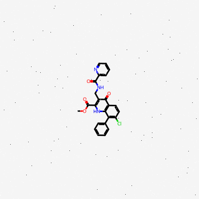 COC(=O)c1[nH]c2c(-c3ccccc3)c(Cl)ccc2c(=O)c1CNC(=O)c1ccccn1